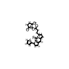 O=C(CCc1ccc2n1B(F)N1C(=C2)C=CC1c1cccs1)ON1C(=O)CCC1=O